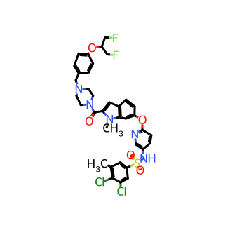 Cc1cc(S(=O)(=O)Nc2ccc(Oc3ccc4cc(C(=O)N5CCN(Cc6ccc(OC(CF)CF)cc6)CC5)n(C)c4c3)nc2)cc(Cl)c1Cl